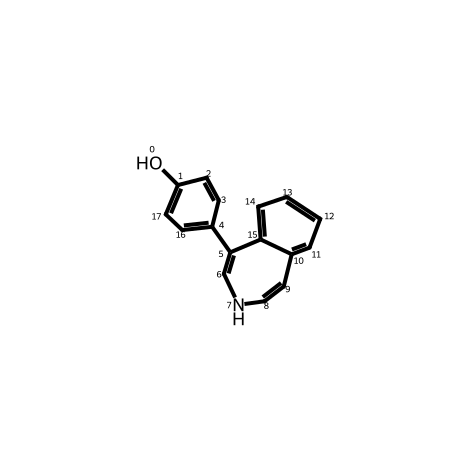 Oc1ccc(C2=CNC=Cc3ccccc32)cc1